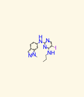 CCCNc1nc(Nc2ccc3cnn(C)c3c2)ncc1I